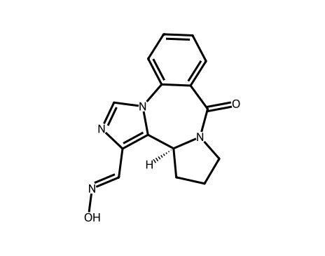 O=C1c2ccccc2-n2cnc(C=NO)c2[C@@H]2CCCN12